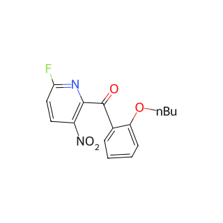 CCCCOc1ccccc1C(=O)c1nc(F)ccc1[N+](=O)[O-]